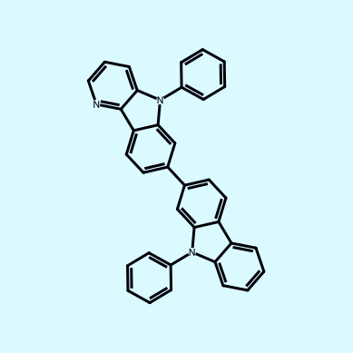 c1ccc(-n2c3ccccc3c3ccc(-c4ccc5c6ncccc6n(-c6ccccc6)c5c4)cc32)cc1